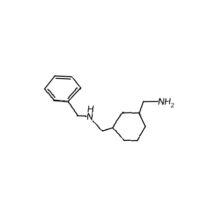 NCC1CCCC(CNCc2ccccc2)C1